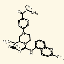 Cc1ccc2c(N/C(=N/C#N)N3CCN(c4cnc(C(=O)N(C)C)cn4)CC3C(C)C)cccc2n1